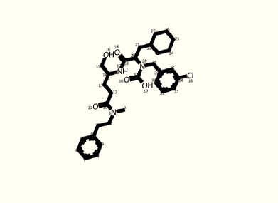 CN(CCc1ccccc1)C(=O)CCC(CO)NC(=O)C(CC1CCCCC1)N(Cc1cccc(Cl)c1)C(=O)O